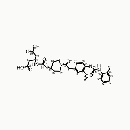 COc1cc(CC(=O)N2CCC(NC(=O)NC(CC(=O)O)CC(=O)O)CC2)ccc1NC(=O)Nc1ccccc1C